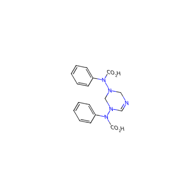 O=C(O)N(c1ccccc1)N1C=NCN(N(C(=O)O)c2ccccc2)C1